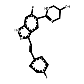 OC1CN=C(c2cc3c(C=Cc4ccc(F)cc4)n[nH]c3cc2F)NC1